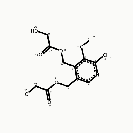 [2H]Oc1c(C)ncc(COC(=O)CO)c1COC(=O)CO